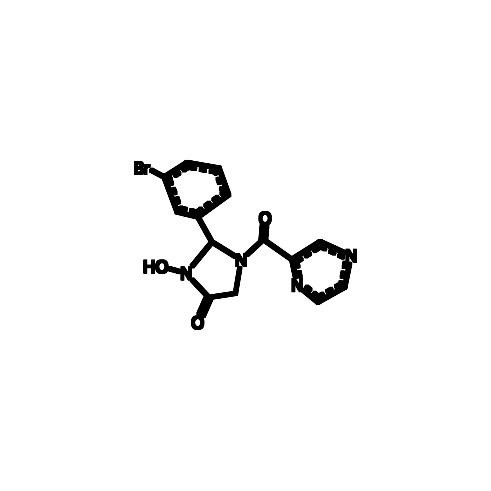 O=C1CN(C(=O)c2cnccn2)C(c2cccc(Br)c2)N1O